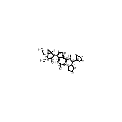 OC[C@@]12C[C@@H]1[C@@H](n1cnc3c(NC(C4CCCC4)C4CCCC4)nc(Cl)nc31)[C@H](O)[C@@H]2O